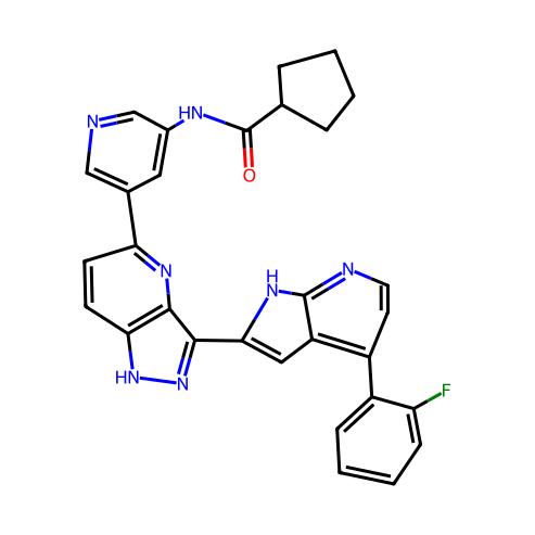 O=C(Nc1cncc(-c2ccc3[nH]nc(-c4cc5c(-c6ccccc6F)ccnc5[nH]4)c3n2)c1)C1CCCC1